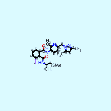 CSC[C@H](C)NC(=O)c1c(I)cccc1C(=O)Nc1ccc(Cn2nc(C(F)(F)F)cc2C(F)(F)F)nc1C